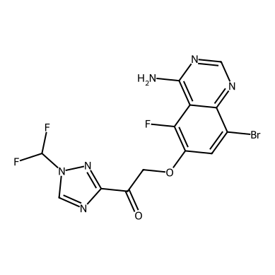 Nc1ncnc2c(Br)cc(OCC(=O)c3ncn(C(F)F)n3)c(F)c12